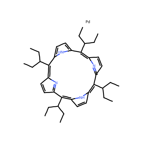 CCC(CC)c1c2nc(c(C(CC)CC)c3ccc([nH]3)c(C(CC)CC)c3nc(c(C(CC)CC)c4ccc1[nH]4)C=C3)C=C2.[Pd]